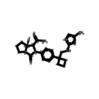 Cc1cnc(NCC2(c3ccc(N4C(=O)N5CC[CH][C@@H]5C4C(N)=O)cc3)CCC2)s1